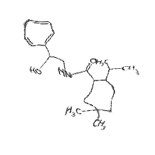 CC(C)C1CCC(C)(C)CC1C(=O)NCC(O)c1ccccc1